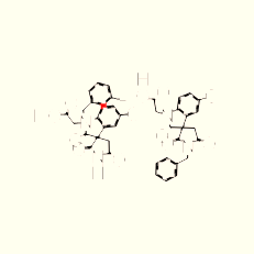 O=C(O)CN1C(=O)C2(CC(=O)N(Cc3ccccc3)C2=O)c2cc(Cl)ccc21.O=C(O)C[N+]1(Cc2cccc(F)c2)C(=O)C2(CC(=O)NC2=O)c2cc(Cl)ccc21